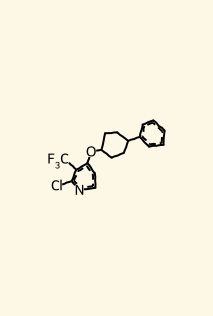 FC(F)(F)c1c(OC2CCC(c3ccccc3)CC2)ccnc1Cl